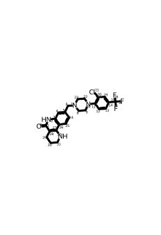 O=c1[nH]c2cc(CN3CCN(c4ccc(C(F)(F)F)cc4Cl)CC3)ccc2c2c1CCCN2